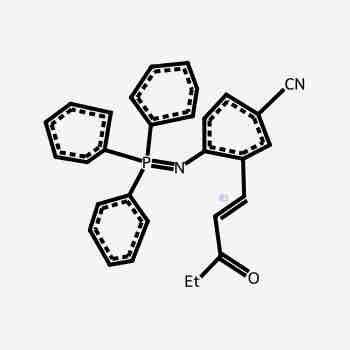 CCC(=O)/C=C/c1cc(C#N)ccc1N=P(c1ccccc1)(c1ccccc1)c1ccccc1